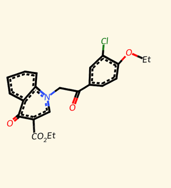 CCOC(=O)c1cn(CC(=O)c2ccc(OCC)c(Cl)c2)c2ccccc2c1=O